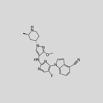 COc1nn([C@H]2CCN[C@H](C)C2)cc1Nc1ncc(F)c(-n2ccc3c(C#N)cccc32)n1